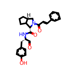 O=C[C@H](Cc1ccc(O)cc1)NC(=O)[C@@H]1C2CCC[C@H]2CN1C(=O)/C=C/c1ccccc1